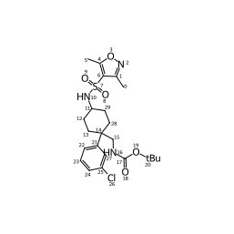 Cc1noc(C)c1S(=O)(=O)NC1CCC(CNC(=O)OC(C)(C)C)(c2cccc(Cl)c2)CC1